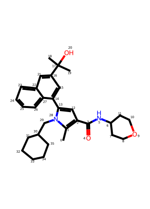 Cc1c(C(=O)NC2CCOCC2)cc(-c2cc(C(C)(C)O)cc3ccccc23)n1CC1CCCCC1